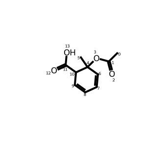 CC(=O)OC1(C)C=CC=CC1C(=O)O